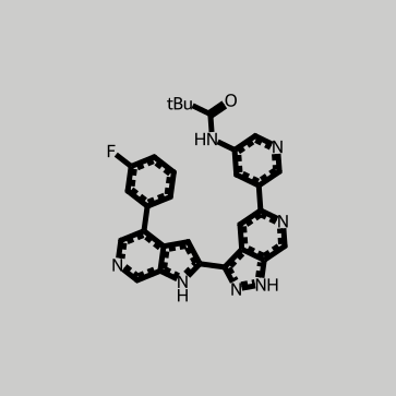 CC(C)(C)C(=O)Nc1cncc(-c2cc3c(-c4cc5c(-c6cccc(F)c6)cncc5[nH]4)n[nH]c3cn2)c1